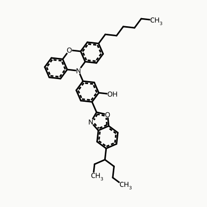 CCCCCCc1ccc2c(c1)Oc1ccccc1N2c1ccc(-c2nc3cc(C(CC)CCC)ccc3o2)c(O)c1